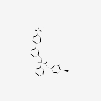 CS(=O)(=O)c1ccc(-c2cccc(CC(O)(C(=O)Nc3ccc(C#N)c(Cl)c3)c3ccccc3)c2)cc1